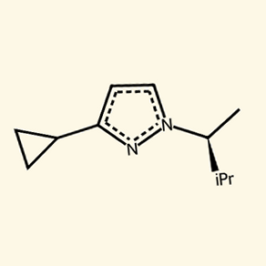 CC(C)[C@H](C)n1ccc(C2CC2)n1